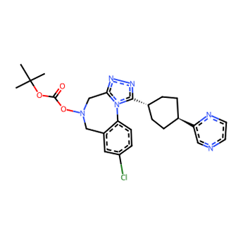 CC(C)(C)OC(=O)ON1Cc2cc(Cl)ccc2-n2c(nnc2[C@H]2CC[C@H](c3cnccn3)CC2)C1